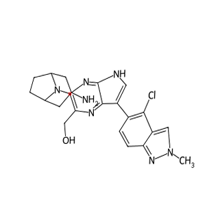 Cn1cc2c(Cl)c(-c3c[nH]c4nc(N5C6CCC5CC(N)C6)c(CO)nc34)ccc2n1